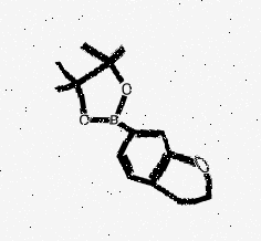 CC1(C)OB(c2ccc3c(c2)OCC3)OC1(C)C